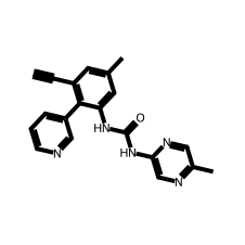 C#Cc1cc(C)cc(NC(=O)Nc2cnc(C)cn2)c1-c1cccnc1